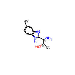 CC[C@@H](O)[C@H](N)c1nc2cc(C(C)C)ccc2[nH]1